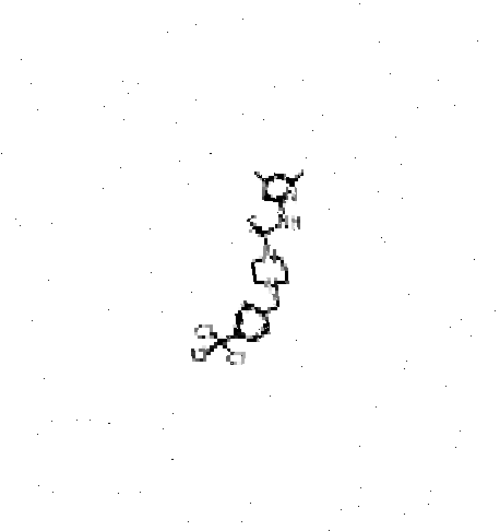 Cc1cc(C)nc(NC(=S)N2CCN(Cc3ccc(C(Cl)(Cl)Cl)cc3)CC2)c1